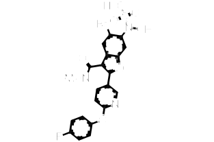 CNC(=O)c1c(-c2ccc(Oc3ccc(F)cc3)nc2)oc2cc(N(C)S(C)(=O)=O)c(Br)cc12